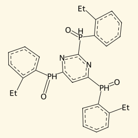 CCc1ccccc1[PH](=O)c1cc([PH](=O)c2ccccc2CC)nc([PH](=O)c2ccccc2CC)n1